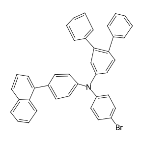 Brc1ccc(N(c2ccc(-c3cccc4ccccc34)cc2)c2ccc(-c3ccccc3)c(-c3ccccc3)c2)cc1